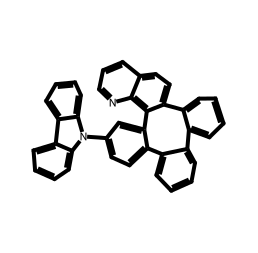 c1ccc2c(c1)-c1ccccc1-c1ccc3cccnc3c1-c1cc(-n3c4ccccc4c4ccccc43)ccc1-2